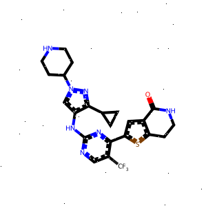 O=C1NCCc2sc(-c3nc(Nc4cn(C5CCNCC5)nc4C4CC4)ncc3C(F)(F)F)cc21